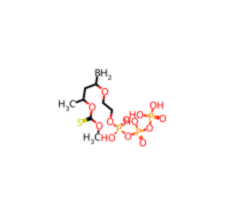 BC(CC(C)OC(=S)OC)OCCOP(=O)(O)OP(=O)(O)OP(=O)(O)O